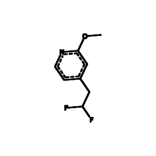 COc1cc(CC(F)F)ccn1